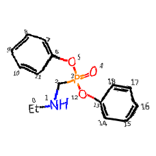 CCNCP(=O)(Oc1ccccc1)Oc1ccccc1